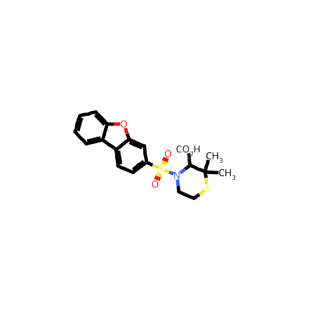 CC1(C)SCCN(S(=O)(=O)c2ccc3c(c2)oc2ccccc23)C1C(=O)O